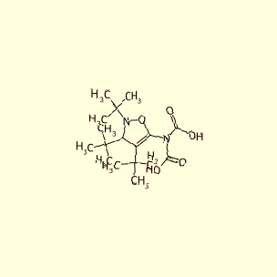 CC(C)(C)C1=C(N(C(=O)O)C(=O)O)ON(C(C)(C)C)C1C(C)(C)C